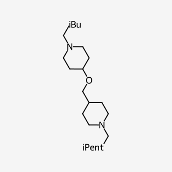 CCCC(C)CN1CCC(COC2CCN(CC(C)CC)CC2)CC1